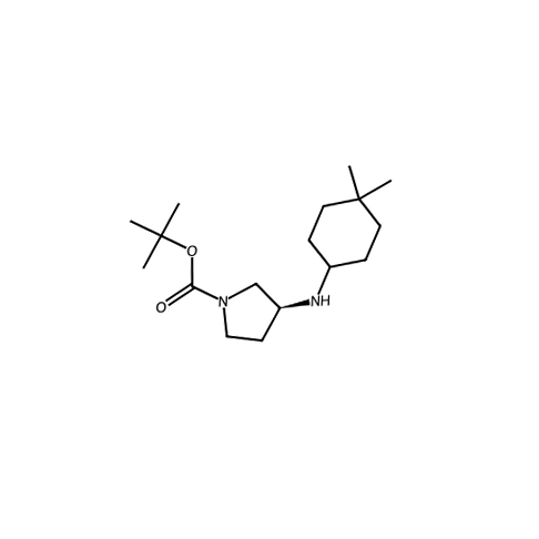 CC1(C)CCC(N[C@H]2CCN(C(=O)OC(C)(C)C)C2)CC1